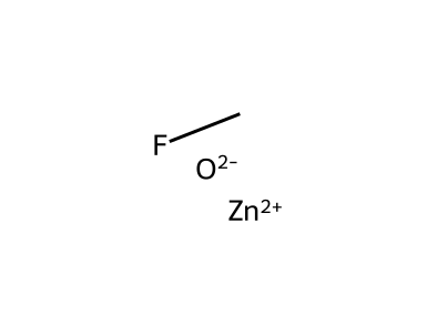 CF.[O-2].[Zn+2]